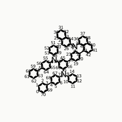 c1ccc(-c2ccc(N(c3ccccc3)c3cc(-c4ccc5c(c4)N(c4ccc6ccccc6c4)c4cccc6cccc-5c46)cc(N(c4ccccc4)c4ccc(-c5ccccc5)cc4)c3)cc2)cc1